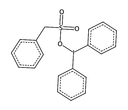 O=S(=O)(Cc1ccccc1)OI(c1ccccc1)c1ccccc1